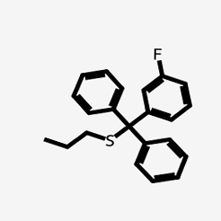 CCCSC(c1ccccc1)(c1ccccc1)c1cccc(F)c1